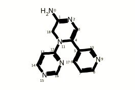 NC1=NC=C(c2cccnc2)N(c2ccncn2)C1